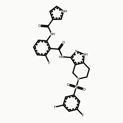 O=C(Nc1cccc(F)c1C(=O)Nc1n[nH]c2c1CN(S(=O)(=O)c1cc(F)cc(F)c1)CC2)c1cc[nH]c1